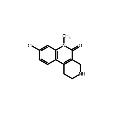 Cn1c(=O)c2c(c3ccc(Cl)cc31)CCNC2